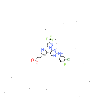 COC(=O)/C=C/c1cncc(-c2cnc(Nc3ccc(F)c(Cl)c3)nc2-n2ccc(C(F)(F)F)n2)c1